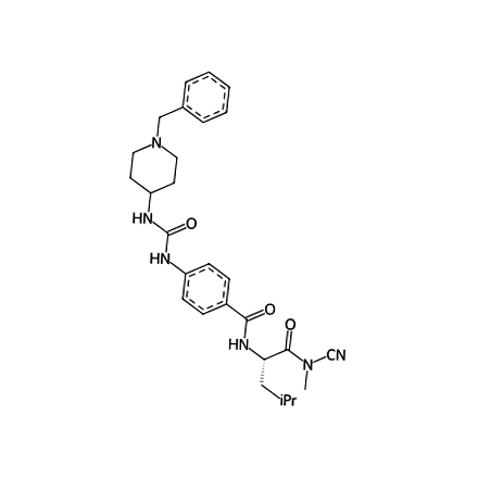 CC(C)C[C@H](NC(=O)c1ccc(NC(=O)NC2CCN(Cc3ccccc3)CC2)cc1)C(=O)N(C)C#N